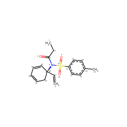 C=C[C@@]1(N(C(=O)CC)S(=O)(=O)c2ccc(C)cc2)C=CC=CC1